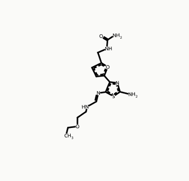 CCOCCNC=Nc1sc(N)nc1-c1ccc(CNC(N)=O)o1